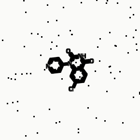 O=c1[nH]c(=O)n(-c2ccncc2)c2cc(Cl)ccc12